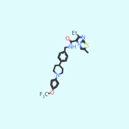 CCc1nc2sc(C)cn2c1C(=O)NCc1ccc(C2CCN(c3ccc(OC(F)(F)F)cc3)CC2)cc1